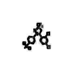 CS(=O)(=O)c1ccc(N2N=C(C(F)(F)F)CC2c2ccc(Cl)cc2Cl)cc1